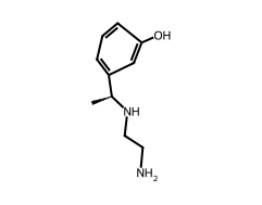 C[C@H](NCCN)c1cccc(O)c1